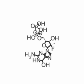 C[C@@]1(F)[C@H](O)[C@@H](COP(=O)(O)OP(=O)(O)O)O[C@H]1n1cnc2c1N=C(N)NC2O